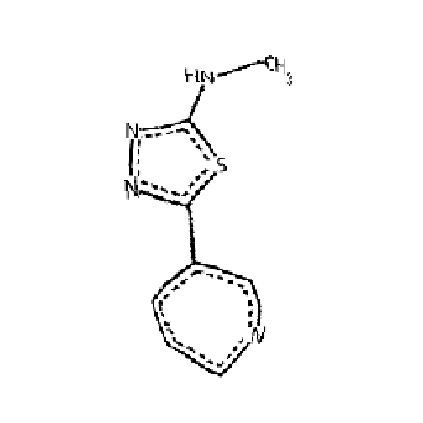 CNc1nnc(-c2cccnc2)s1